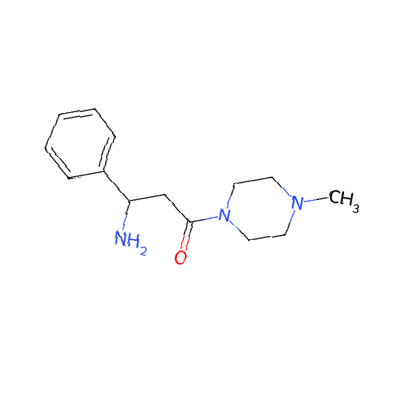 CN1CCN(C(=O)CC(N)c2ccccc2)CC1